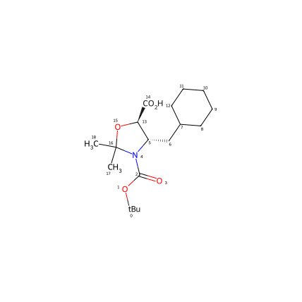 CC(C)(C)OC(=O)N1[C@@H](CC2CCCCC2)[C@H](C(=O)O)OC1(C)C